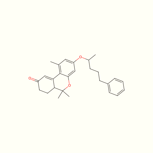 Cc1cc(OC(C)CCCc2ccccc2)cc2c1C1=CC(=O)CCC1C(C)(C)O2